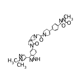 CC(C)n1cc(-c2n[nH]c3ccc(N4CC[C@]5(CCN(CC(=O)N6CC=C(c7ccc(-c8nn(C)c(=O)o8)cc7)CC6)C5)C4=O)cc23)cn1